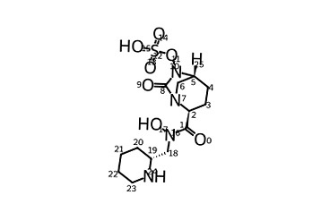 O=C([C@@H]1CC[C@@H]2CN1C(=O)N2OS(=O)(=O)O)N(O)C[C@H]1CCCCN1